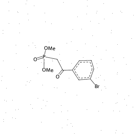 COP(=O)(CC(=O)c1cccc(Br)c1)OC